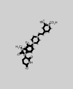 Cn1c(=O)n(C2CCC(=O)NC2=O)c2ccc(N3CCN(CCC4CCN(C(=O)O)C(C(C)(C)C)C4)CC3)c(F)c21